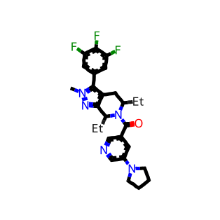 CCC1Cc2c(nn(C)c2-c2cc(F)c(F)c(F)c2)C(CC)N1C(=O)c1cncc(N2CCCC2)c1